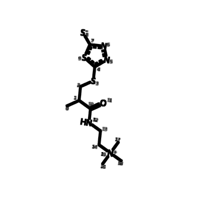 CC(CSc1nnc([S-])s1)C(=O)NCC[N+](C)(C)C